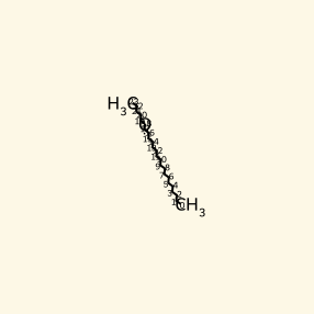 CCCCCCCCCCCCCCCCC[CH]OCCCCC